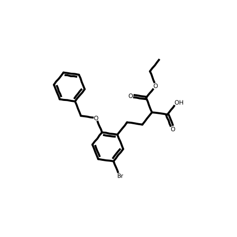 CCOC(=O)C(CCc1cc(Br)ccc1OCc1ccccc1)C(=O)O